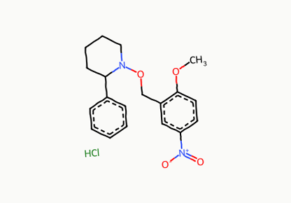 COc1ccc([N+](=O)[O-])cc1CON1CCCCC1c1ccccc1.Cl